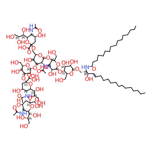 CCCCCCCCCCCCC/C=C/[C@@H](O)[C@H](CO[C@@H]1OC(CO)[C@@H](O[C@@H]2OC(CO)[C@H](O[C@@H]3OC(CO[C@]4(C(=O)O)CC(O)[C@@H](NC(C)=O)C([C@H](O)[C@H](O)CO)O4)[C@H](O)[C@H](O[C@@H]4OC(CO)[C@H](O)[C@H](O[C@]5(C(=O)O)CC(O)[C@@H](NC(C)=O)C([C@H](O)[C@@H](CO)O[C@]6(C(=O)O)CC(O)[C@@H](NC(C)=O)C([C@H](O)[C@H](O)CO)O6)O5)C4O)C3NC(C)=O)[C@H](O)C2O)[C@H](O)C1O)NC(=O)CCCCCCCCCCCCCCC